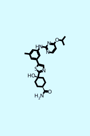 Cc1cc(Nc2nccc(OC(C)C)n2)cc(-c2cnc([C@]3(O)CC[C@@H](C(N)=O)CC3)s2)c1